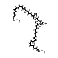 CCCCC/C=C\C/C=C\CCCCCCCC(=O)OCC(COO)OC(=O)CCCCCCC/C=C\C/C=C\CCCCC